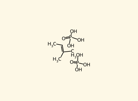 CC=C(C)C.O=P(O)(O)O.O=P(O)(O)O